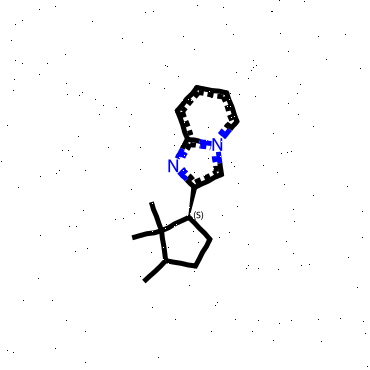 CC1CC[C@H](c2cn3ccccc3n2)C1(C)C